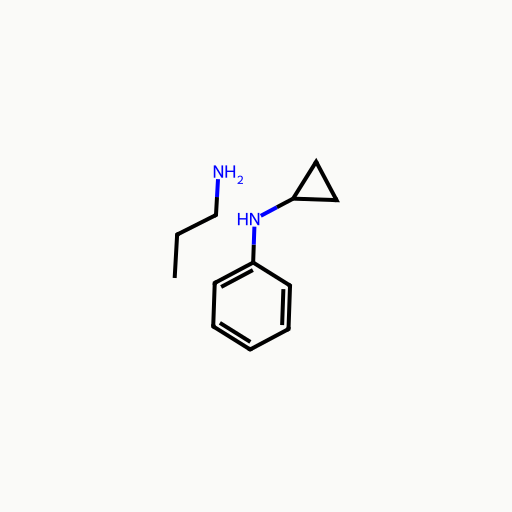 CCCN.c1ccc(NC2CC2)cc1